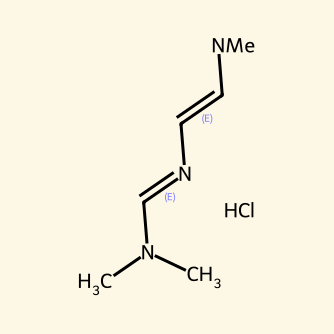 CN/C=C/N=C/N(C)C.Cl